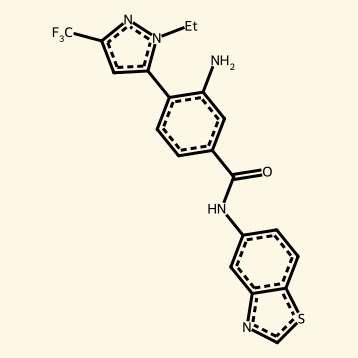 CCn1nc(C(F)(F)F)cc1-c1ccc(C(=O)Nc2ccc3scnc3c2)cc1N